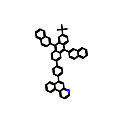 CC(C)(C)c1ccc2c(-c3ccc4ccccc4c3)c3cc(-c4ccc(-c5cc6ncccc6c6ccccc56)cc4)ccc3c(-c3ccc4ccccc4c3)c2c1